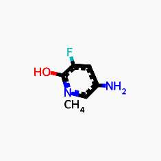 C.Nc1cnc(O)c(F)c1